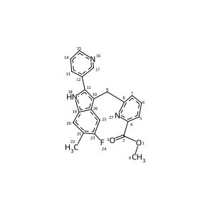 COC(=O)c1cccc(Cc2c(-c3cccnc3)[nH]c3cc(C)c(F)cc23)n1